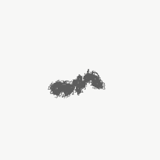 c1ccc([Si](c2ccccc2)(c2cccc(-c3ccc4nc5n(c4c3)-c3ccccc3CO5)c2)c2cccc(-c3cccc4c3sc3ccccc34)c2)cc1